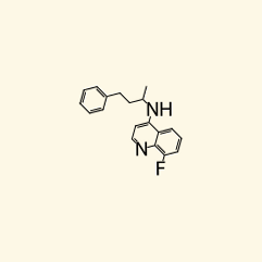 CC(CCc1ccccc1)Nc1ccnc2c(F)cccc12